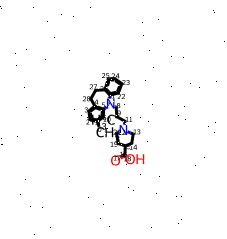 Cc1ccc2c(c1)N(C[C@H](C)CN1CCC(C(=O)O)CC1)c1ccccc1CC2